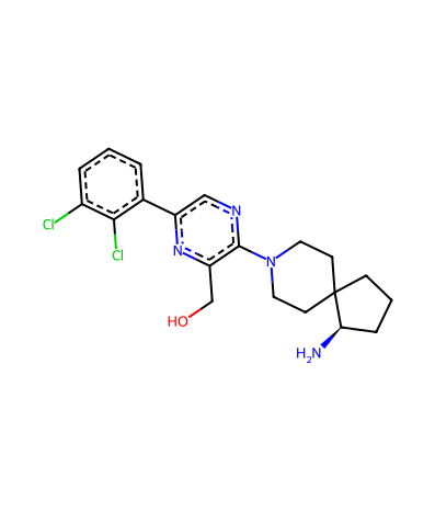 N[C@@H]1CCCC12CCN(c1ncc(-c3cccc(Cl)c3Cl)nc1CO)CC2